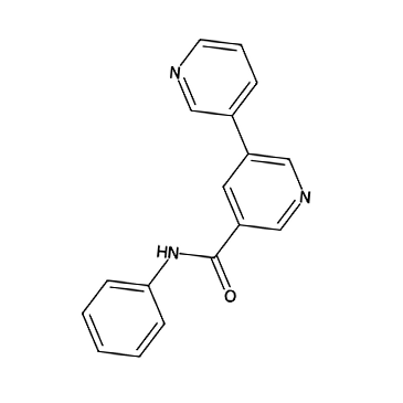 O=C(Nc1ccccc1)c1cncc(-c2cccnc2)c1